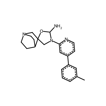 Cc1cccc(-c2ccnc(N3CC4(CN5CCC4CC5)OC3N)c2)c1